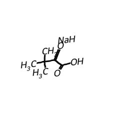 CC(C)(C)C(=O)C(=O)O.[NaH]